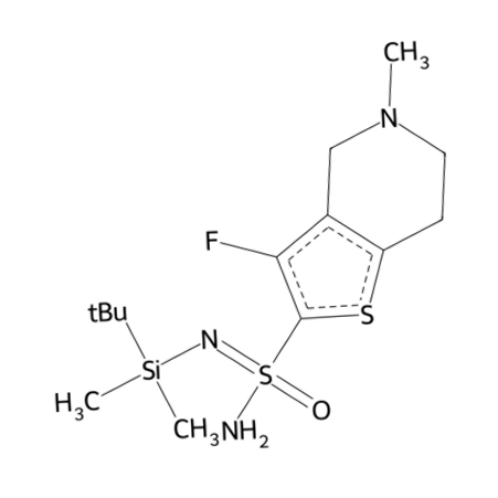 CN1CCc2sc(S(N)(=O)=N[Si](C)(C)C(C)(C)C)c(F)c2C1